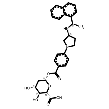 C[C@@H](N[C@H]1CCN(c2ccc(C(=O)O[C@H]3C[C@@H](O)[C@H](O)[C@@H](C(=O)O)O3)cc2)C1)c1cccc2ccccc12